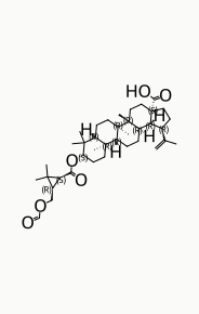 C=C(C)[C@@H]1CC[C@]2(C(=O)O)CC[C@]3(C)[C@H](CC[C@@H]4[C@@]5(C)CC[C@H](OC(=O)[C@H]6[C@@H](COC=O)C6(C)C)C(C)(C)[C@@H]5CC[C@]43C)[C@@H]12